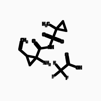 C=CC1CC1(N)C(=O)NS(=O)(=O)C1(C)CC1.O=C(O)C(F)(F)F